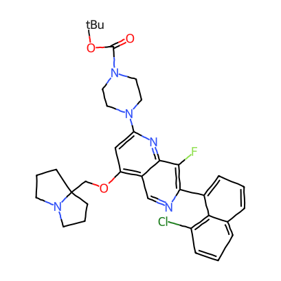 CC(C)(C)OC(=O)N1CCN(c2cc(OCC34CCCN3CCC4)c3cnc(-c4cccc5cccc(Cl)c45)c(F)c3n2)CC1